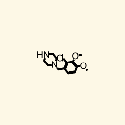 COc1ccc(CN2CCNCC2)c(Cl)c1OC